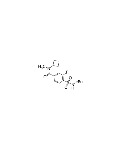 CN(C(=O)c1ccc(S(=O)(=O)NC(C)(C)C)c(F)c1)C1CCC1